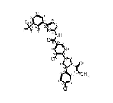 COC(=O)[C@H]1CN(c2ncc(C(=O)Nc3nc(-c4cccc(C(F)(F)F)c4F)cs3)cc2Cl)C[C@@H]1c1ccc(Cl)cc1